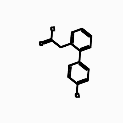 O=C(Cl)Cc1ccccc1-c1ccc(Cl)cc1